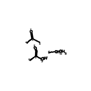 CC(=O)O.CC(C)=O.CO.O